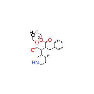 CCOC(=O)C1C2CNCCC2=CC(c2ccccc2)C1C(=O)OCC